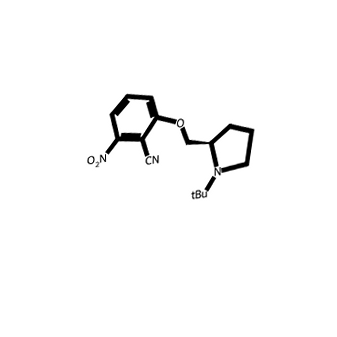 CC(C)(C)N1CCC[C@@H]1COc1cccc([N+](=O)[O-])c1C#N